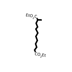 CCOC(=O)CCCCCCCCCC(C)C(=O)OCC